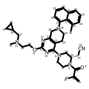 C=C(F)C(=O)N1CCN(c2nc(OCCN(C)CC3CC3)nc3c2CCN(c2cccc4cccc(C)c24)C3)C[C@@H]1CC#N